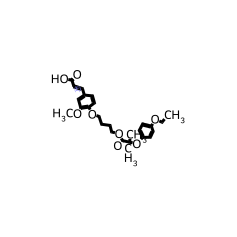 CCOc1ccc(OC(C)(C)C(=O)OCCCCOc2ccc(/C=C/C(=O)O)cc2OC)cc1